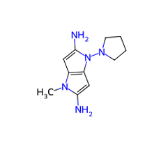 Cn1c(N)cc2c1cc(N)n2N1CCCC1